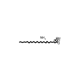 CCCCCCCCCCCCCCCCCCCCCCCC(=O)S(=O)(=O)O.N